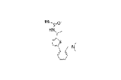 CC(N[S@+]([O-])C(C)(C)C)c1ccc(-c2ccccc2CN(C)C)s1